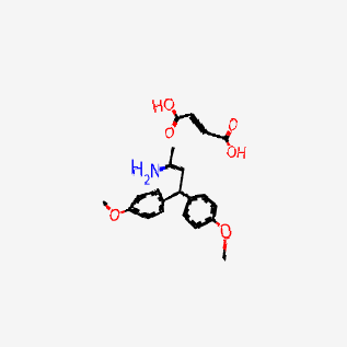 COc1ccc(C(CC(C)N)c2ccc(OC)cc2)cc1.O=C(O)/C=C/C(=O)O